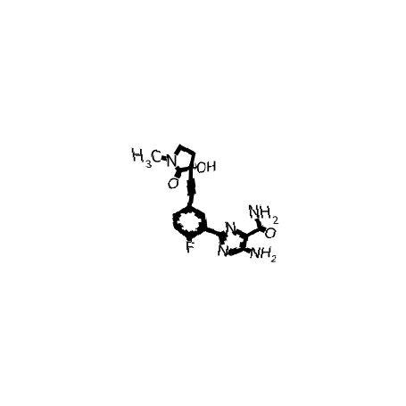 CN1CC[C@@](O)(C#Cc2ccc(F)c(-c3ncc(N)c(C(N)=O)n3)c2)C1=O